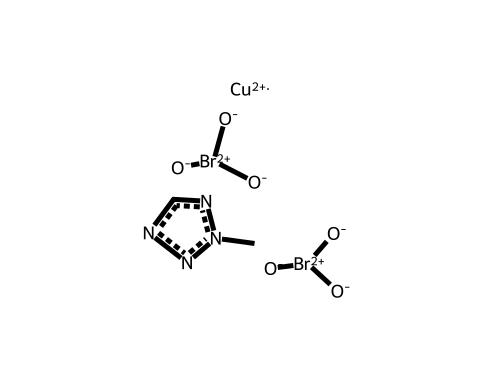 Cn1ncnn1.[Cu+2].[O-][Br+2]([O-])[O-].[O-][Br+2]([O-])[O-]